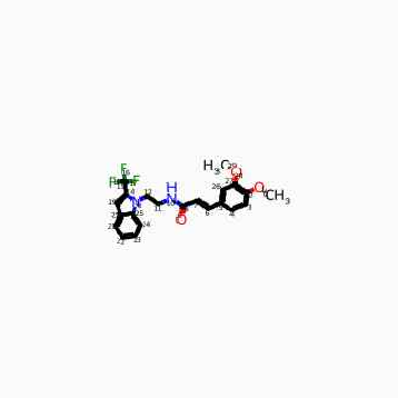 COc1ccc(/C=C/C(=O)NCCn2c(C(F)(F)F)cc3ccccc32)cc1OC